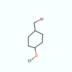 CCOC1CCC(CBr)CC1